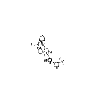 CC(C)(C)[Si](OC1C[C@@H]2C(c3cc(-c4cncc(C(F)(F)F)c4)n[nH]3)[C@@H]2C1)(c1ccccc1)c1ccccc1